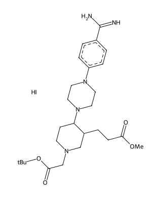 COC(=O)CCC1CN(CC(=O)OC(C)(C)C)CCC1N1CCN(c2ccc(C(=N)N)cc2)CC1.I